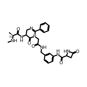 CN[C@@H](C)C(=O)NC1CN=C(c2ccccc2)N(CC(=O)NCc2cccc(NC(=O)C3CC(=O)N3)c2)C1=O